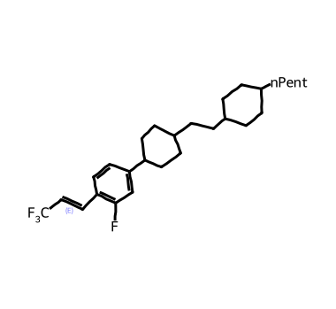 CCCCCC1CCC(CCC2CCC(c3ccc(/C=C/C(F)(F)F)c(F)c3)CC2)CC1